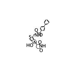 O=C1CCC(N2Cc3c(csc3CNC(=O)C(=O)c3ccc(-c4ccccc4)cc3)C2O)C(=O)N1